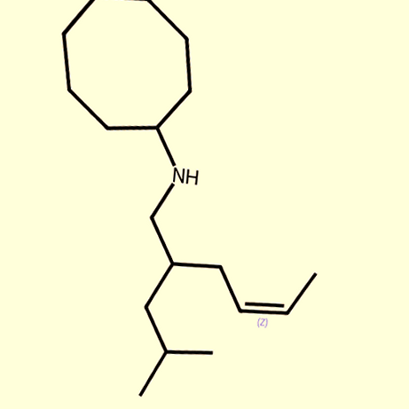 C/C=C\CC(CNC1CCCCCCC1)CC(C)C